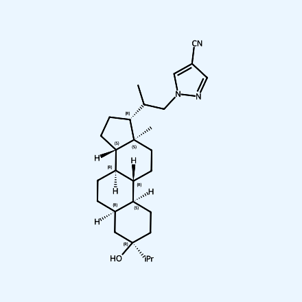 CC(Cn1cc(C#N)cn1)[C@H]1CC[C@H]2[C@@H]3CC[C@@H]4C[C@@](O)(C(C)C)CC[C@@H]4[C@H]3CC[C@]12C